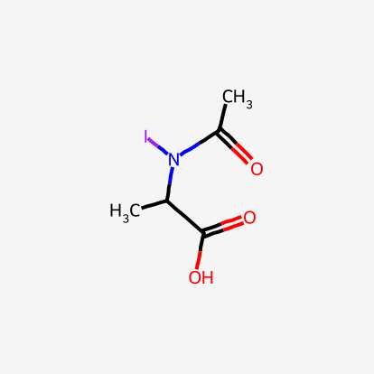 CC(=O)N(I)C(C)C(=O)O